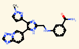 Cn1ccc(-c2nc(CNc3cccc(C(N)=O)c3)[nH]c2-c2ccc3ncnn3c2)n1